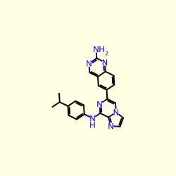 CC(C)c1ccc(Nc2nc(-c3ccc4nc(N)ncc4c3)cn3ccnc23)cc1